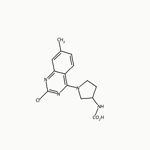 Cc1ccc2c(N3CCC(NC(=O)O)C3)nc(Cl)nc2c1